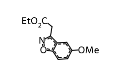 CCOC(=O)Cc1noc2ccc(OC)cc12